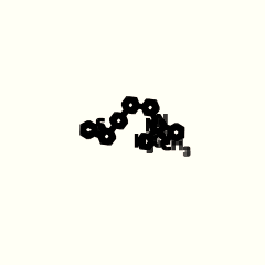 C[Si]1(C)c2ccccc2-c2nc(-c3cccc(-c4cccc(-c5ccc(-c6cccc7c6sc6ccccc67)cc5)c4)c3)nc(-c3ccccc3)c21